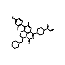 C=CC(=O)N1CCN(c2nc(=O)n3c4c(c(-c5ccc(F)cc5F)c(C)cc24)SCC3CN2CCOCC2)CC1